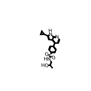 CC(O)CNS(=O)(=O)c1ccc(-c2ccnc3[nH]c(C4CC4)cc23)cc1